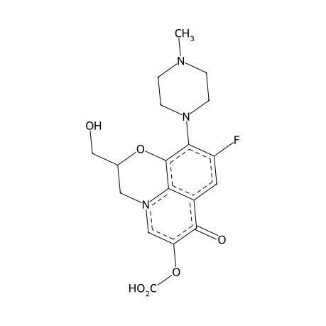 CN1CCN(c2c(F)cc3c(=O)c(OC(=O)O)cn4c3c2OC(CO)C4)CC1